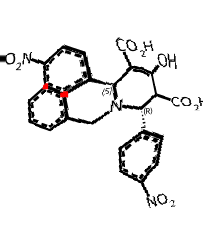 O=C(O)C1=C(O)C(C(=O)O)[C@H](c2ccc([N+](=O)[O-])cc2)N(Cc2ccccc2)[C@H]1c1ccc([N+](=O)[O-])cc1